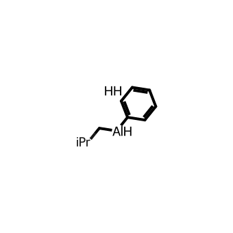 CC(C)[CH2][AlH][c]1ccccc1.[HH]